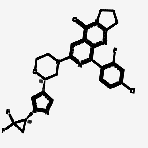 O=c1c2cc(N3CCO[C@@H](c4cnn([C@@H]5CC5(F)F)c4)C3)nc(-c3ccc(Cl)cc3F)c2nc2n1CCC2